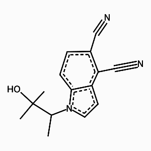 CC(n1ccc2c(C#N)c(C#N)ccc21)C(C)(C)O